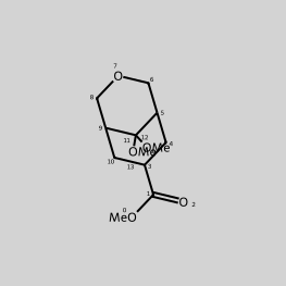 COC(=O)C1CC2COCC(C1)C2(OC)OC